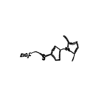 CCOC(=O)CSc1ccc(-n2c(C)ccc2C)cc1